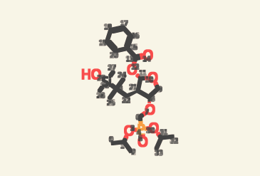 CC(C)OP(=O)(CO[C@H]1CO[C@H](OC(=O)c2ccccc2)[C@@H]1CC(C)(C)[Si](C)(C)O)OC(C)C